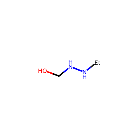 CCNNCO